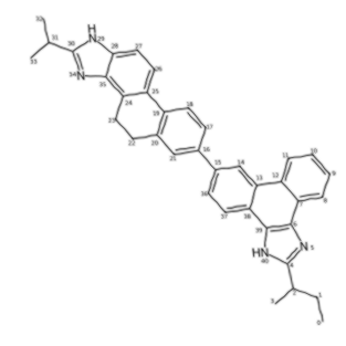 CCC(C)c1nc2c3ccccc3c3cc(-c4ccc5c(c4)CCc4c-5ccc5[nH]c(C(C)C)nc45)ccc3c2[nH]1